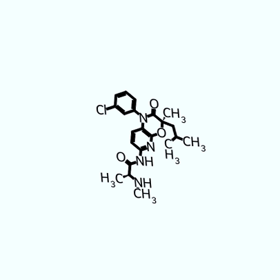 CN[C@@H](C)C(=O)Nc1ccc2c(n1)O[C@](C)(CC(C)C)C(=O)N2c1cccc(Cl)c1